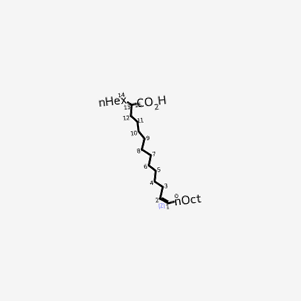 CCCCCCCC/C=C\CCCCCCCCCCC(CCCCCC)C(=O)O